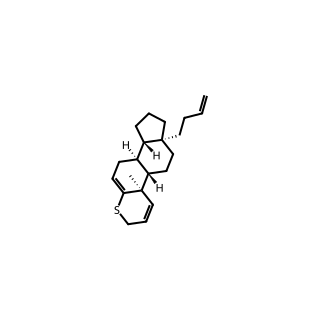 C=CCC[C@@]12CCC[C@H]1[C@@H]1CC=C3SCC=C[C@]3(C)[C@H]1CC2